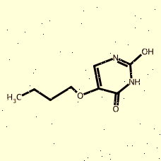 CCCCOc1cnc(O)[nH]c1=O